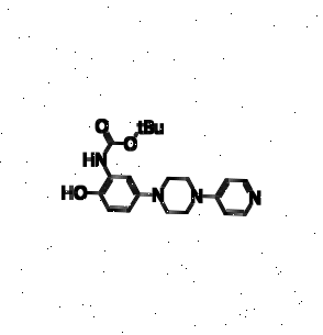 CC(C)(C)OC(=O)Nc1cc(N2CCN(c3ccncc3)CC2)ccc1O